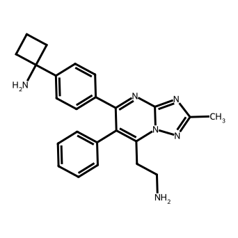 Cc1nc2nc(-c3ccc(C4(N)CCC4)cc3)c(-c3ccccc3)c(CCN)n2n1